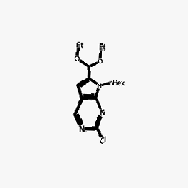 CCCCCCn1c(C(OCC)OCC)cc2cnc(Cl)nc21